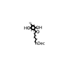 CCCCCCCCCCCCCCCC(=O)c1cc(O)c(C)cc1O